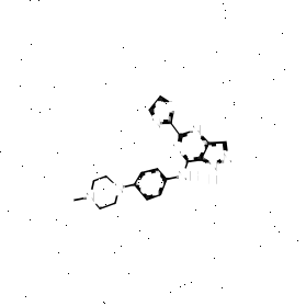 CN1CCN(c2ccc(Nc3nc(-c4nccs4)nc4cn[nH]c34)cc2)CC1